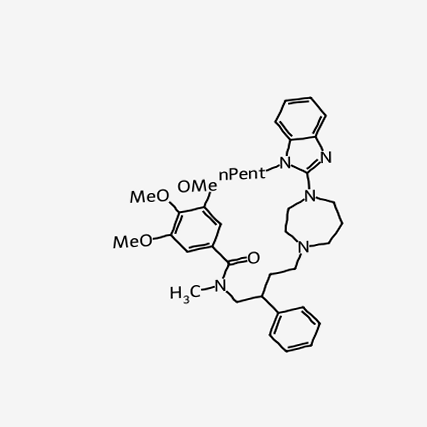 CCCCCn1c(N2CCCN(CCC(CN(C)C(=O)c3cc(OC)c(OC)c(OC)c3)c3ccccc3)CC2)nc2ccccc21